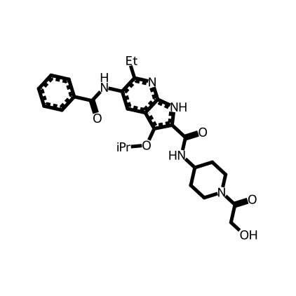 CCc1nc2[nH]c(C(=O)NC3CCN(C(=O)CO)CC3)c(OC(C)C)c2cc1NC(=O)c1ccccc1